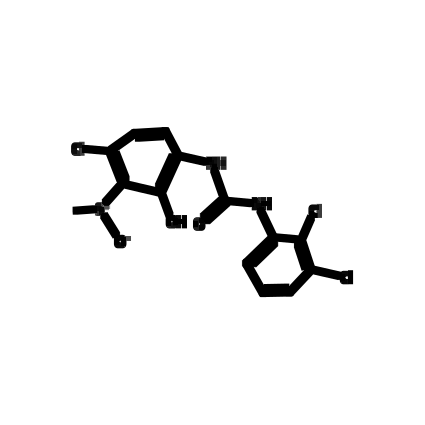 C[S+]([O-])c1c(Cl)ccc(NC(=O)Nc2cccc(Cl)c2Cl)c1O